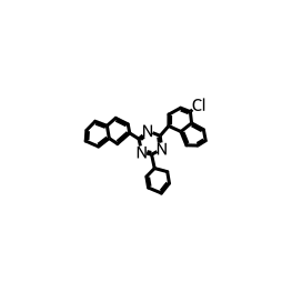 Clc1ccc(-c2nc(-c3ccc4ccccc4c3)nc(C3C=CC=CC3)n2)c2ccccc12